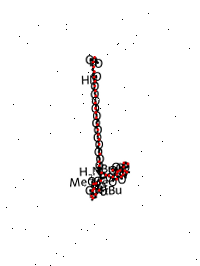 COc1cc2c(cc1OCc1cc(COc3cc4c(cc3OC)C(=O)N3CC(C)C[C@H]3C(OC3CCCCO3)N4C(=O)OC(C)(C)C)cc(/C(N)=C/OCCOCCOCCOCCOCCOCCOCCOCCOCCOCCOCCOCCNC(=O)CCCCCN3C(=O)C=CC3=O)c1)N(C(=O)OC(C)(C)C)CC1CC(C)CN1C2=O